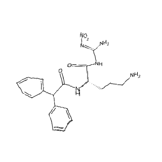 NCCC[C@H](NC(=O)C(c1ccccc1)c1ccccc1)C(=O)NC(N)=N[N+](=O)[O-]